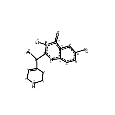 CCCC(C1=CCNCC1)c1nc2ccc(Br)cc2c(=O)n1CC